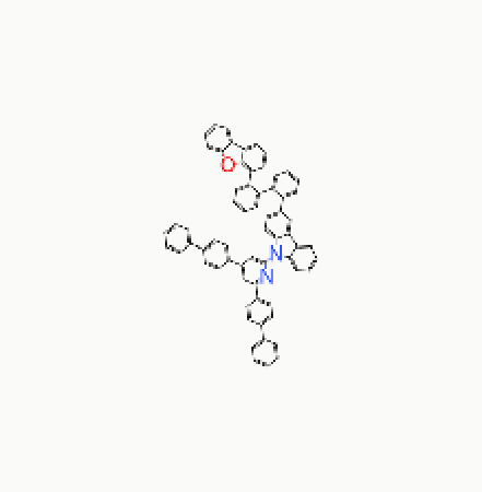 c1ccc(-c2ccc(-c3cc(-c4ccc(-c5ccccc5)cc4)nc(-n4c5ccccc5c5cc(-c6ccccc6-c6ccccc6-c6cccc7c6oc6ccccc67)ccc54)c3)cc2)cc1